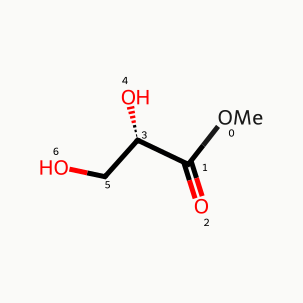 COC(=O)[C@@H](O)CO